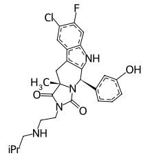 CC(C)CNCCN1C(=O)N2[C@H](c3cccc(O)c3)c3[nH]c4cc(F)c(Cl)cc4c3C[C@@]2(C)C1=O